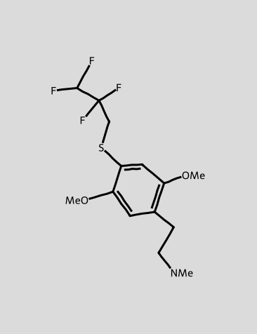 CNCCc1cc(OC)c(SCC(F)(F)C(F)F)cc1OC